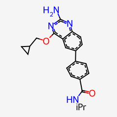 CC(C)NC(=O)c1ccc(-c2ccc3nc(N)nc(OCC4CC4)c3c2)cc1